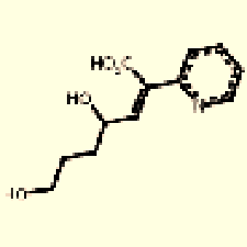 O=C(O)C(=CC(O)CCCO)c1ccccn1